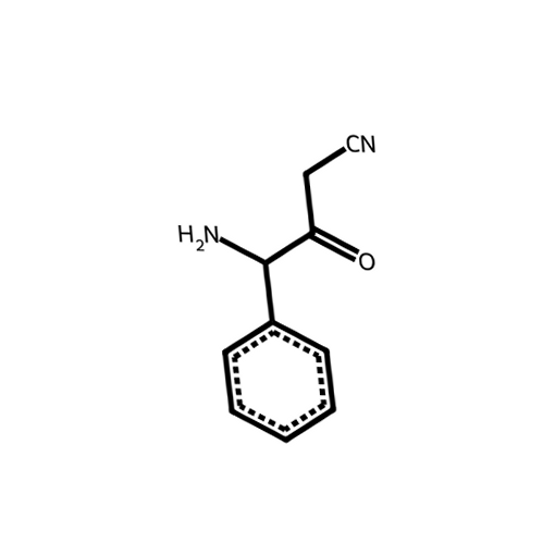 N#CCC(=O)C(N)c1ccccc1